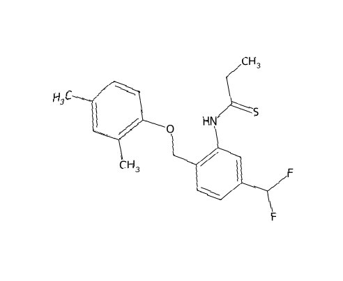 CCC(=S)Nc1cc(C(F)F)ccc1COc1ccc(C)cc1C